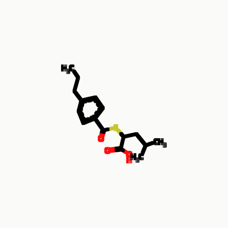 CCCc1ccc(C(=O)SC(CC(C)C)C(=O)O)cc1